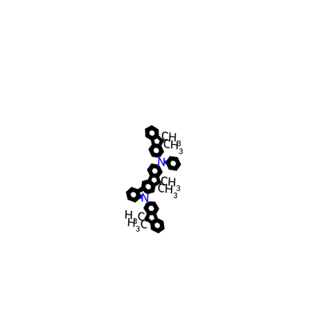 CC1(C)c2ccccc2-c2ccc(N(c3ccccc3)c3ccc4c(c3)C(C)(C)c3cc5c(cc3-4)c3ccccc3n5-c3ccc4c(c3)C(C)(C)c3ccccc3-4)cc21